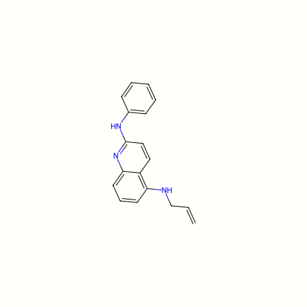 C=CCNc1cccc2nc(Nc3ccccc3)ccc12